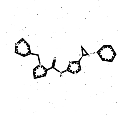 O=C(Nc1nc([C@H]2C[C@@H]2c2ccccc2)cs1)c1cccn1Cc1ccncc1